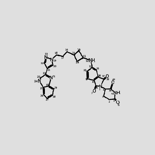 O=C1CCC(N2C(=O)c3ccc(NC4CC(CCCn5cc(-c6cnc7ccccc7n6)cn5)C4)cc3C2=O)C(=O)N1